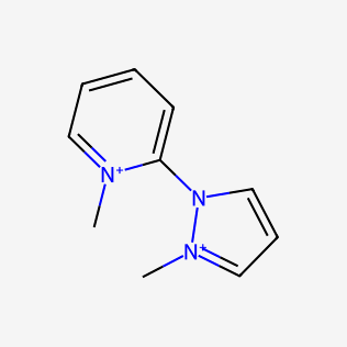 C[n+]1ccccc1-n1ccc[n+]1C